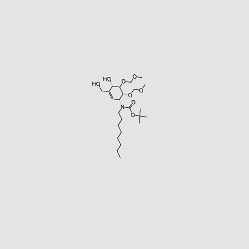 CCCCCCCCN(C(=O)OC(C)(C)C)[C@@H]1C=C(CO)[C@H](O)C(OCOC)[C@@H]1OCOC